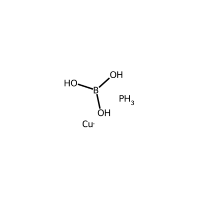 OB(O)O.P.[Cu]